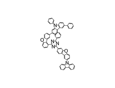 c1ccc(-c2ccc3c(c2)c2ccc(-c4ccc5oc6cccc(-c7nc(-c8ccccc8)nc(-c8ccc9c(c8)oc8ccc(-n%10c%11ccccc%11c%11ccccc%11%10)cc89)n7)c6c5c4)cc2n3-c2ccccc2)cc1